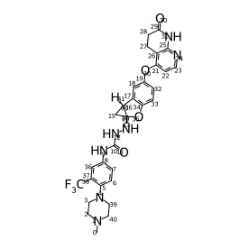 CN1CCN(c2ccc(NC(=O)NN[C@@]34C[C@@H]3c3cc(Oc5ccnc6c5CCC(=O)N6)ccc3O4)cc2C(F)(F)F)CC1